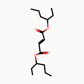 CCCC(CC)OC(=O)/C=C/C(=O)OC(CC)CCC